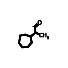 CC([C]=O)C1CCCCCC1